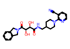 N#Cc1cccnc1N1CCC(CNC(=O)[C@H](O)[C@@H](O)C(=O)N2Cc3ccccc3C2)CC1